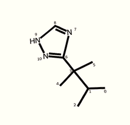 CC(C)C(C)(C)c1nc[nH]n1